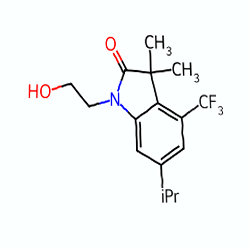 CC(C)c1cc2c(c(C(F)(F)F)c1)C(C)(C)C(=O)N2CCO